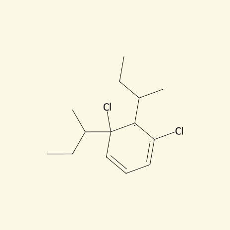 CCC(C)[C]1C(Cl)=CC=CC1(Cl)C(C)CC